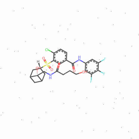 O=C(CCCO)NC[C@]1(O)C2CC1C[C@@H](S(=O)(=O)c1cc(C(=O)Nc3cc(F)c(F)c(F)c3)ccc1Cl)C2